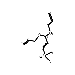 C=CCOC(C=C[Si](C)(C)C)OCC=C